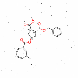 COC(=O)[C@@H]1C[C@H](OC(=O)C2=CC(C)C=CC=C2)C[C@H]1C(=O)OCc1ccccc1